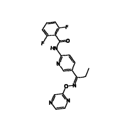 CCC(=NOc1cnccn1)c1ccc(NC(=O)c2c(F)cccc2F)nc1